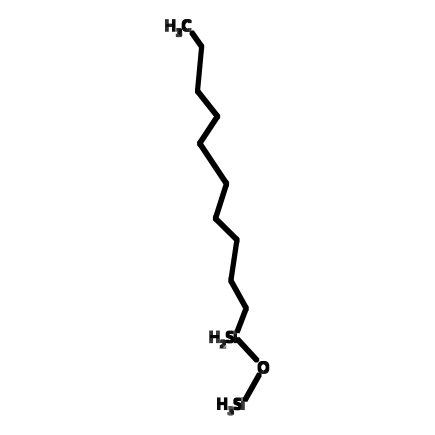 CCCCCCCCCC[SiH2]O[SiH3]